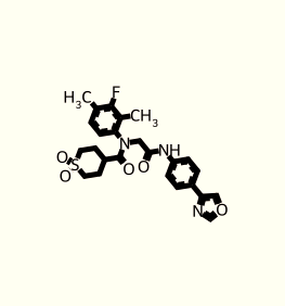 Cc1ccc(N(CC(=O)Nc2ccc(-c3cocn3)cc2)C(=O)C2CCS(=O)(=O)CC2)c(C)c1F